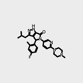 Cc1cc(F)ccc1C1c2c(CC(C)C)n[nH]c2C(=O)N1c1ccc(N2CCN(C)CC2)nc1